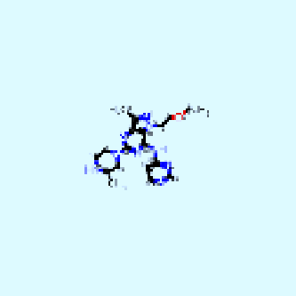 CCOCCn1nc(C)c2nc(N3CCN[C@H](C)C3)nc(Nc3ccncn3)c21